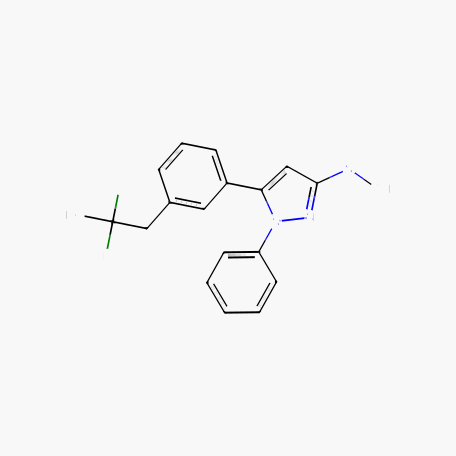 CNc1cc(-c2cccc(CC(C)(F)F)c2)n(-c2ccccc2)n1